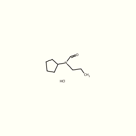 CCCN(C=O)C1CCCC1.Cl